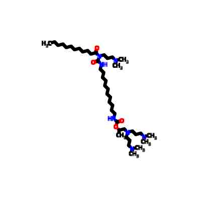 CCCCCCCCCCCC(=O)N(CCCN(C)C)C(=O)NCCCCCCCCCCCCNC(=O)OC(C)CN(CCCN(C)C)CCCN(C)C